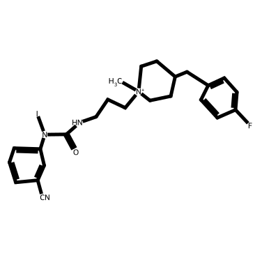 C[N+]1(CCCNC(=O)N(I)c2cccc(C#N)c2)CCC(Cc2ccc(F)cc2)CC1